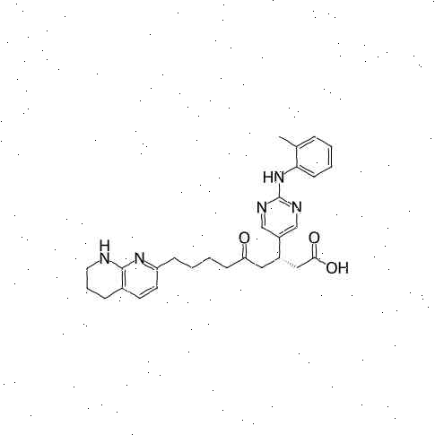 Cc1ccccc1Nc1ncc([C@H](CC(=O)O)CC(=O)CCCCc2ccc3c(n2)NCCC3)cn1